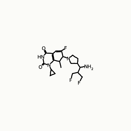 CC1c2c(c(=O)[nH]c(=O)n2C2CC2)C=C(F)C1N1CCC(C(N)C(CF)CF)C1